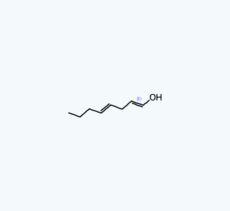 CCCC=CC/C=C/O